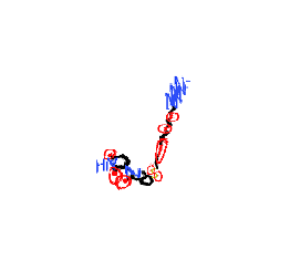 [N-]=[N+]=NCCOCCOCCOCCS(=O)(=O)c1cccc2c1CN(C1CCC(=O)NC1=O)C2=O